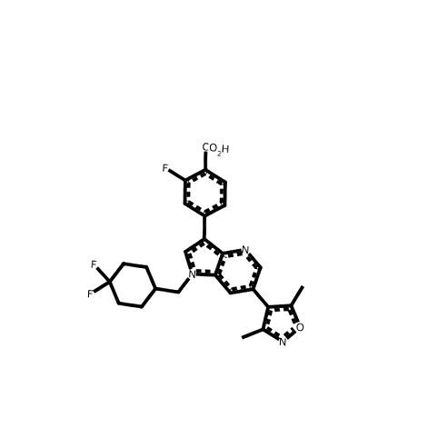 Cc1noc(C)c1-c1cnc2c(-c3ccc(C(=O)O)c(F)c3)cn(CC3CCC(F)(F)CC3)c2c1